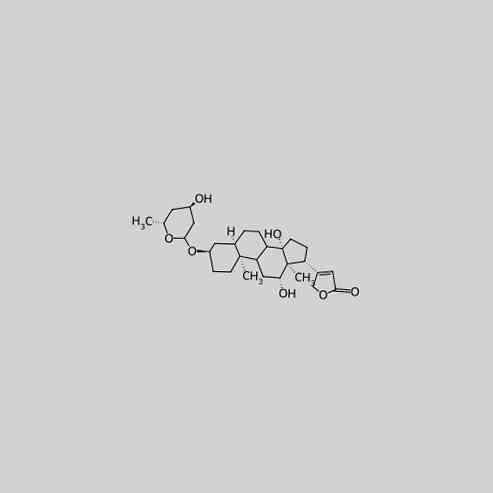 C[C@@H]1C[C@@H](O)CC(O[C@@H]2CC[C@]3(C)C4C[C@@H](O)[C@]5(C)[C@@H](C6=CC(=O)OC6)CC[C@]5(O)C4CC[C@@H]3C2)O1